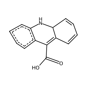 O=C(O)C1=C2C=CC=CC2Nc2ccccc21